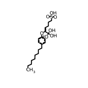 CCCCCCCCCc1ccc(OC(=CCCCS(=O)(=O)O)C(O)(O)O)cc1